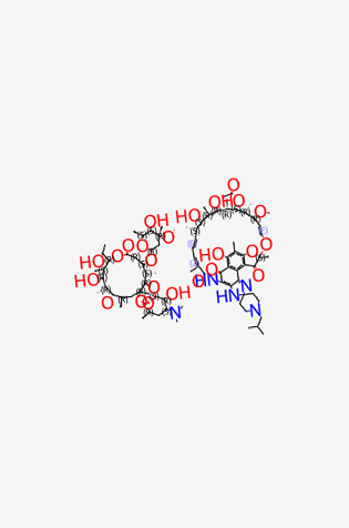 CC[C@H]1OC(=O)[C@H](C)[C@@H](O[C@H]2C[C@@](C)(OC)[C@@H](O)[C@H](C)O2)[C@H](C)[C@@H](O[C@@H]2O[C@H](C)C[C@H](N(C)C)[C@H]2O)[C@](C)(OC)C[C@@H](C)C(=O)[C@H](C)[C@@H](O)[C@]1(C)O.CO[C@H]1/C=C/O[C@@]2(C)Oc3c(C)c(O)c4c(c3C2=O)C2=NC3(CCN(CC(C)C)CC3)NC2=C(NC(=O)/C(C)=C\C=C\[C@H](C)[C@H](O)[C@@H](C)[C@@H](O)[C@@H](C)[C@H](OC(C)=O)[C@@H]1C)C4=O